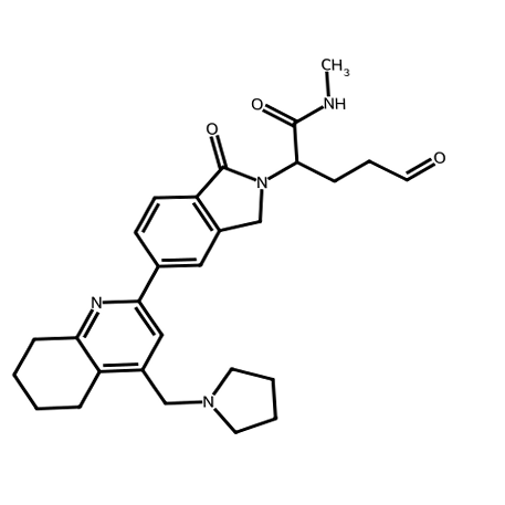 CNC(=O)C(CCC=O)N1Cc2cc(-c3cc(CN4CCCC4)c4c(n3)CCCC4)ccc2C1=O